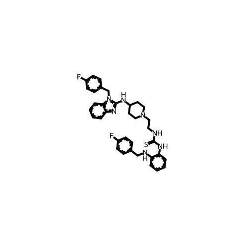 Fc1ccc(CNc2ccccc2NC(=S)NCCN2CCC(Nc3nc4ccccc4n3Cc3ccc(F)cc3)CC2)cc1